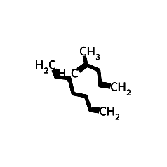 C=CCC(=C)C.C=CCCCC=C